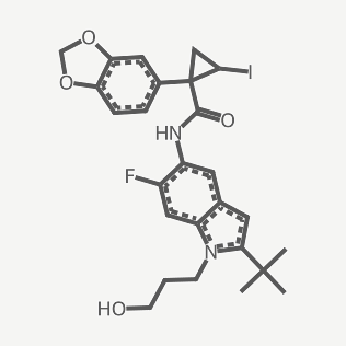 CC(C)(C)c1cc2cc(NC(=O)C3(c4ccc5c(c4)OCO5)CC3I)c(F)cc2n1CCCO